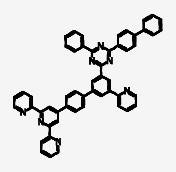 c1ccc(-c2ccc(-c3nc(-c4ccccc4)nc(-c4cc(-c5ccc(-c6cc(-c7ccccn7)nc(-c7ccccn7)c6)cc5)cc(-c5ccccn5)c4)n3)cc2)cc1